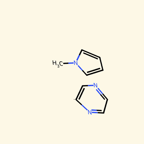 Cn1cccc1.[c]1cnccn1